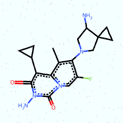 Cc1c(N2CC(N)C3(CC3)C2)c(F)cn2c(=O)n(N)c(=O)c(C3CC3)c12